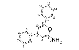 NC1=CC(c2ccccc2)C=C(c2ccccc2)O1